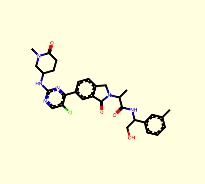 Cc1cccc(C(CO)NC(=O)C(C)N2Cc3ccc(-c4nc(NC5CCC(=O)N(C)C5)ncc4Cl)cc3C2=O)c1